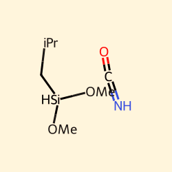 CO[SiH](CC(C)C)OC.N=C=O